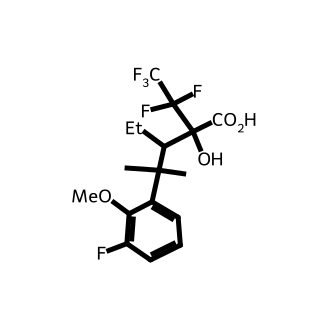 CCC(C(C)(C)c1cccc(F)c1OC)C(O)(C(=O)O)C(F)(F)C(F)(F)F